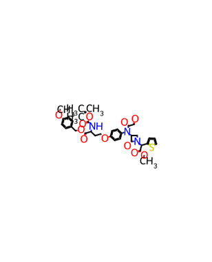 COC(=O)C(c1cccs1)N1CC(N(C(=O)C=O)c2ccc(OCCC(NC(=O)OC(C)(C)C)C(=O)OCc3ccc(OC)cc3)cc2)C1=O